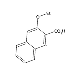 CCOc1cc2ccccc2[c]c1C(=O)O